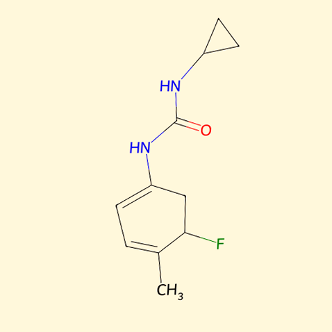 CC1=CC=C(NC(=O)NC2CC2)CC1F